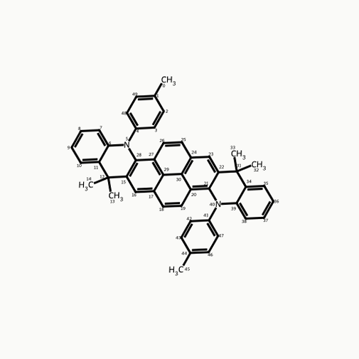 Cc1ccc(N2c3ccccc3C(C)(C)c3cc4ccc5c6c(cc7ccc(c32)c4c75)C(C)(C)c2ccccc2N6c2ccc(C)cc2)cc1